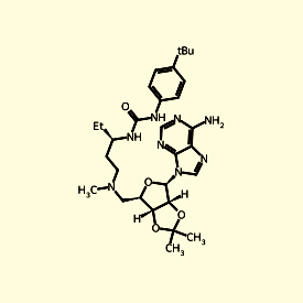 CC[C@H](CCN(C)C[C@H]1O[C@@H](n2cnc3c(N)ncnc32)[C@@H]2OC(C)(C)O[C@@H]21)NC(=O)Nc1ccc(C(C)(C)C)cc1